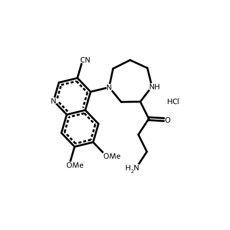 COc1cc2ncc(C#N)c(N3CCCNC(C(=O)CCN)C3)c2cc1OC.Cl